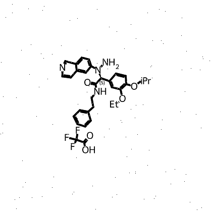 CCOc1cc([C@@H](C(=O)NCCc2ccccc2)N(N)c2ccc3cnccc3c2)ccc1OC(C)C.O=C(O)C(F)(F)F